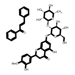 COc1ccc(C2CC(=O)c3c(O)cc(O[C@@H]4O[C@H](CO)[C@@H](O)[C@H](O)[C@H]4O[C@@H]4O[C@@H](C)[C@H](O)[C@@H](O)[C@H]4O)cc3O2)cc1O.O=C(C=Cc1ccccc1)c1ccccc1